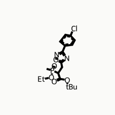 CCOP(C)(=O)C(Cc1nc(-c2ccc(Cl)cc2)no1)C(=O)OC(C)(C)C